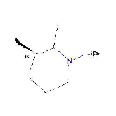 CC(C)N1CCC[C@@H](C)C1C